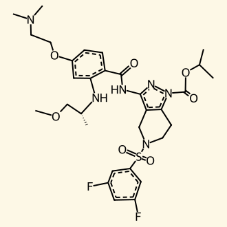 COC[C@@H](C)Nc1cc(OCCN(C)C)ccc1C(=O)Nc1nn(C(=O)OC(C)C)c2c1CN(S(=O)(=O)c1cc(F)cc(F)c1)CC2